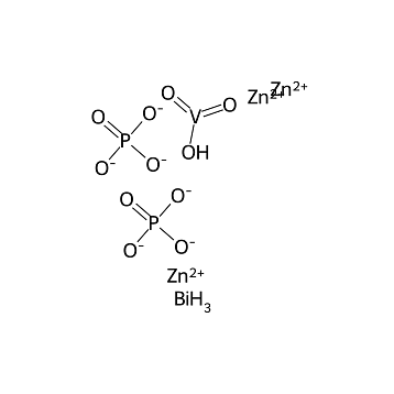 O=P([O-])([O-])[O-].O=P([O-])([O-])[O-].[BiH3].[O]=[V](=[O])[OH].[Zn+2].[Zn+2].[Zn+2]